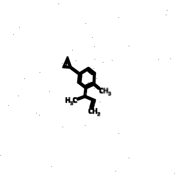 C=C[C](C)c1cc(C2CC2)ccc1C